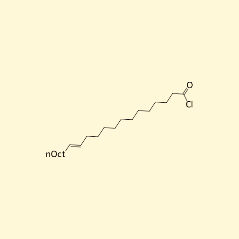 CCCCCCCCC=CCCCCCCCCCCCC(=O)Cl